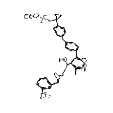 CCOC(=O)CC1(c2ccc(-c3ccc(-c4onc(C)c4C(O)COCc4cccc(C(F)(F)F)c4)cc3)cc2)CC1